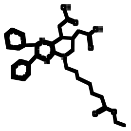 CCOC(=O)CCCCCCN1CC(CC(=O)O)C(CC(=O)O)c2nc(-c3ccccc3)c(-c3ccccc3)nc21